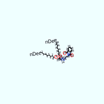 CCCCCCCCCCCCCCCCCCOCC(C[N+](C)(C)CCCN1C(=O)c2ccccc2C1=O)OCCCCCCCCCCCCCCCCCC